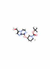 C[C@@H]1CC[C@@H](Oc2nccn3c(C=O)cnc23)CN1C(=O)OC(C)(C)C